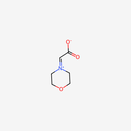 O=C([O-])C=[N+]1CCOCC1